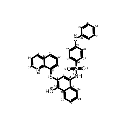 O=S(=O)(Nc1cc(Sc2cccc3cccnc23)c(O)c2ccccc12)c1ccc(Oc2ccccc2)cc1